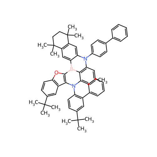 Cc1cc2c3c(c1)N(c1ccc(C(C)(C)C)cc1-c1ccccc1)c1c(oc4ccc(C(C)(C)C)cc14)B3c1cc3c(cc1N2c1ccc(-c2ccccc2)cc1)C(C)(C)CCC3(C)C